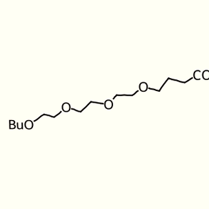 CC(C)COCCOCCOCCOCCCC(=O)O